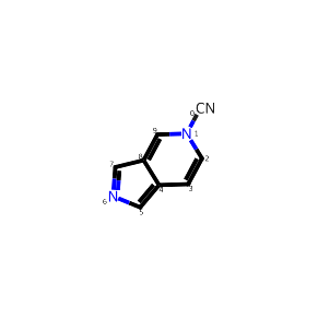 N#Cn1ccc2cncc-2c1